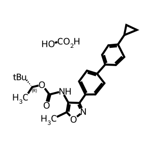 Cc1onc(-c2ccc(-c3ccc(C4CC4)cc3)cc2)c1NC(=O)O[C@H](C)C(C)(C)C.O=C(O)O